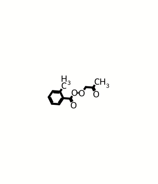 CC(=O)COOC(=O)c1ccccc1C